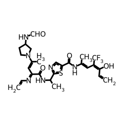 C=C/N=C(\C=C(/C)N1CCC(NC=O)C1)C(=O)NC(C)c1ncc(C(=O)N/C(C)=C/C(=C(/O)C=C)C(F)(F)F)s1